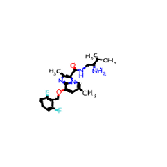 Cc1cc(OCc2c(F)cccc2F)c2nc(C)c(C(=O)NCC(N)C(C)C)n2c1